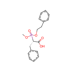 COP(=O)(OCCc1ccccc1)[C@@H](Cc1ccccc1)C(=O)O